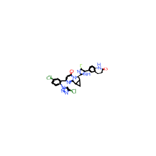 O=C1CCc2cc(-c3[nH]c(C4C5CC5c5nc(-c6cc(Cl)ccc6-n6cc(Cl)nn6)cc(=O)n54)nc3F)ccc2N1